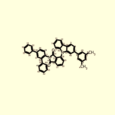 Cc1cc(C)cc(-c2ccc3c4ccccc4n(-c4cccc5c4C(=O)N(c4ccc(-c6ccccc6)cc4-c4ccccc4)C5=O)c3c2)c1